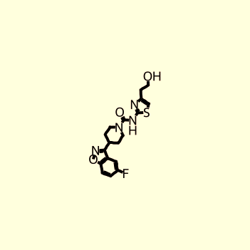 O=C(Nc1nc(CCO)cs1)N1CCC(c2noc3ccc(F)cc23)CC1